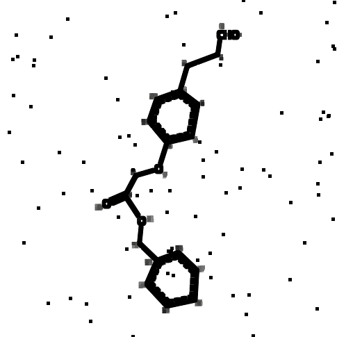 O=[C]CCc1ccc(OCC(=O)OCc2ccccc2)cc1